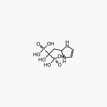 O=P(O)(O)C(O)(CC1NC=CN1)P(=O)(O)O